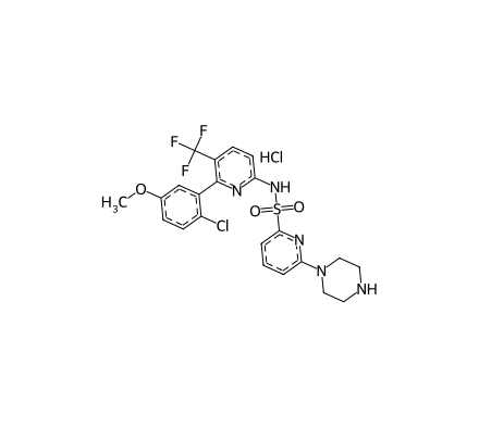 COc1ccc(Cl)c(-c2nc(NS(=O)(=O)c3cccc(N4CCNCC4)n3)ccc2C(F)(F)F)c1.Cl